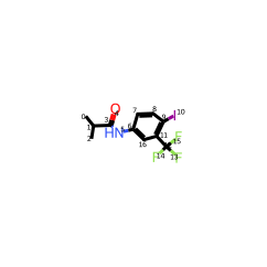 CC(C)C(=O)Nc1ccc(I)c(C(F)(F)F)c1